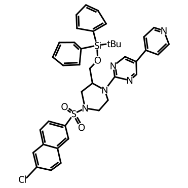 CC(C)(C)[Si](OCC1CN(S(=O)(=O)c2ccc3cc(Cl)ccc3c2)CCN1c1ncc(-c2ccncc2)cn1)(c1ccccc1)c1ccccc1